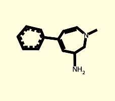 CN1C=CC(c2ccccc2)=CC(N)C1